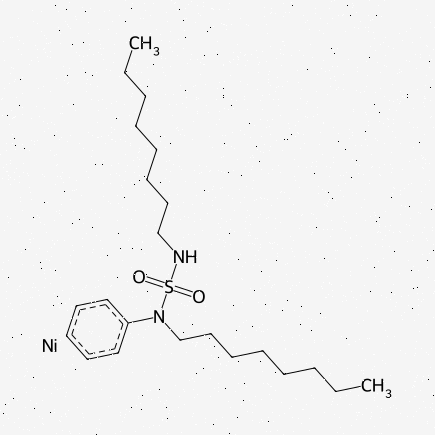 CCCCCCCCNS(=O)(=O)N(CCCCCCCC)c1ccccc1.[Ni]